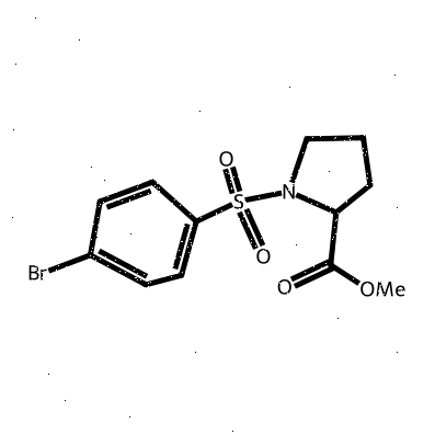 COC(=O)C1CCCN1S(=O)(=O)c1ccc(Br)cc1